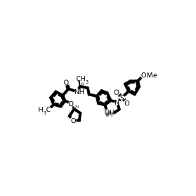 COc1ccc(S(=O)(=O)N(CC(C)C)c2ccc(CC[C@H](C)NC(=O)c3ccc(C)cc3O[C@H]3CCOC3)cc2O)cc1